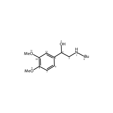 CCC(C)NCC(O)c1ccc(OC)c(OC)c1